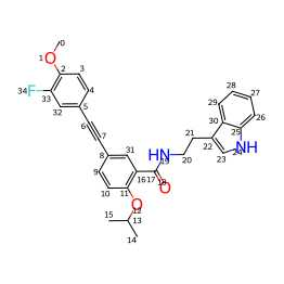 COc1ccc(C#Cc2ccc(OC(C)C)c(C(=O)NCCc3c[nH]c4ccccc34)c2)cc1F